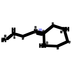 CC(C)NC/N=C1/CNCCN1